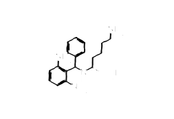 NCCCC[C@H](NC(c1ccccc1)c1c(N)cccc1N)C(=O)O